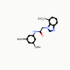 CCOC(=O)c1cccc2ncn(CC(=O)Nc3cc(OC)cc(OC)c3)c12